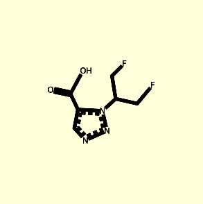 O=C(O)c1cnnn1C(CF)CF